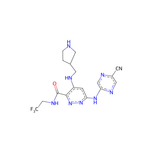 N#Cc1cnc(Nc2cc(NCC3CCNC3)c(C(=O)NCC(F)(F)F)nn2)cn1